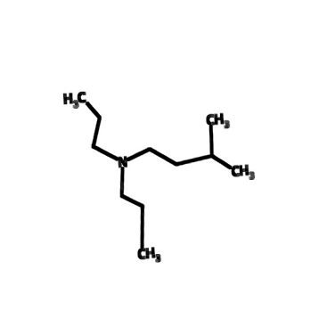 CCCN(CCC)CCC(C)C